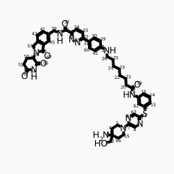 NC1(CO)CCN(c2cnc(Sc3cccc(NC(=O)CCCCCCCNc4ccc(-c5ccc(C(=O)NCc6ccc7c(c6)C(=O)N(C6CCC(=O)NC6=O)C7)nn5)cc4)c3)cn2)CC1